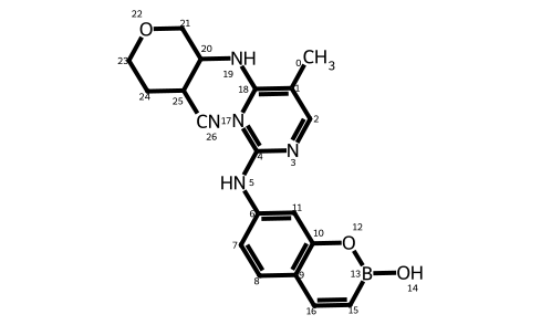 Cc1cnc(Nc2ccc3c(c2)OB(O)C=C3)nc1NC1COCCC1C#N